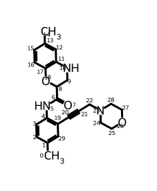 Cc1ccc(NC(=O)C2CNc3cc(C)ccc3O2)c(C#CCN2CCOCC2)c1